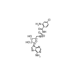 Nc1cc(Cl)ccc1C(=O)NS(=O)(=O)NC[C@H]1O[C@@H](n2cnc3c(N)ncnc32)[C@H](O)[C@@H]1O